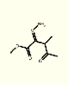 COC(=O)C(=NN)C(C)C(C)=O